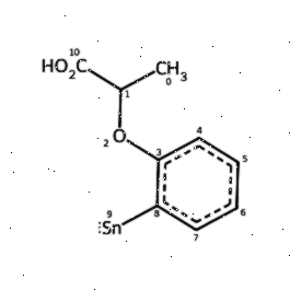 CC(Oc1cccc[c]1[Sn])C(=O)O